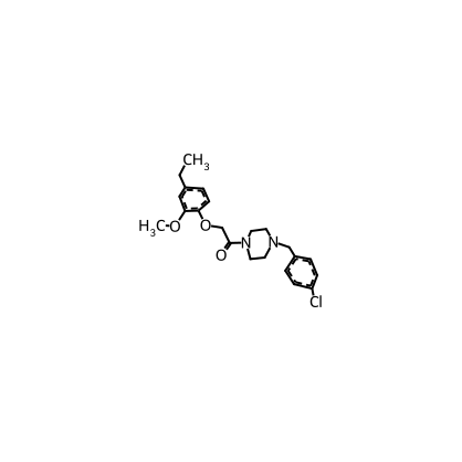 CCc1ccc(OCC(=O)N2CCN(Cc3ccc(Cl)cc3)CC2)c(OC)c1